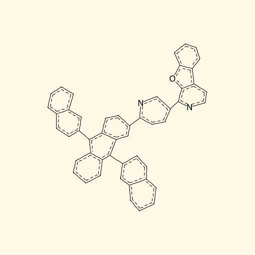 c1ccc2cc(-c3c4ccccc4c(-c4ccc5ccccc5c4)c4cc(-c5ccc(-c6nccc7c6oc6ccccc67)cn5)ccc34)ccc2c1